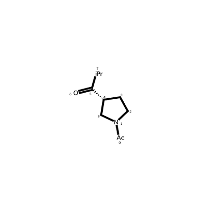 CC(=O)N1CC[C@@H](C(=O)C(C)C)C1